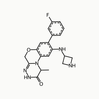 CC1C(=O)NN=C2COc3cc(-c4cccc(F)c4)c(NC4CNC4)cc3N21